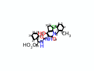 Cc1cccc(Cl)c1Cn1c2c(c(O)c(NC(=O)N[C@@H](CC(=O)O)c3ccccc3)c1=O)CCC2